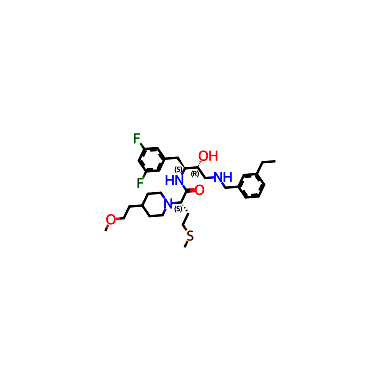 CCc1cccc(CNC[C@@H](O)[C@H](Cc2cc(F)cc(F)c2)NC(=O)[C@H](CCSC)N2CCC(CCOC)CC2)c1